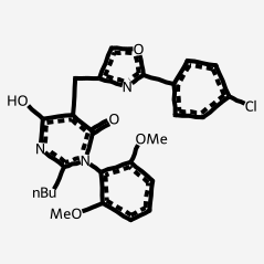 CCCCc1nc(O)c(Cc2coc(-c3ccc(Cl)cc3)n2)c(=O)n1-c1c(OC)cccc1OC